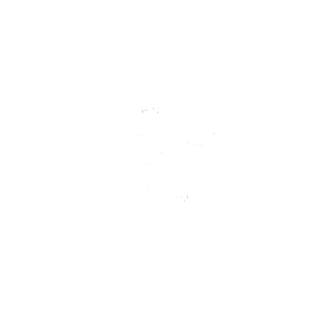 CCS(=O)(=O)c1cccc(C(N)C2CCOCC2)c1